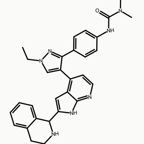 CCn1cc(-c2ccnc3[nH]c(C4NCCc5ccccc54)cc23)c(-c2ccc(NC(=O)N(C)C)cc2)n1